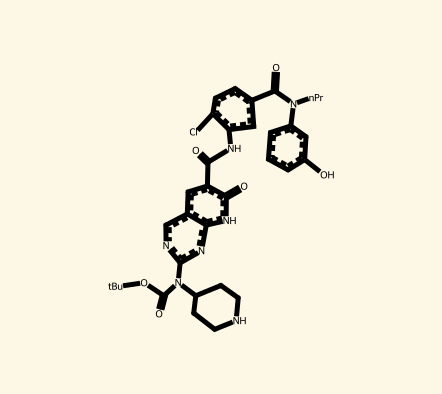 CCCN(C(=O)c1ccc(Cl)c(NC(=O)c2cc3cnc(N(C(=O)OC(C)(C)C)C4CCNCC4)nc3[nH]c2=O)c1)c1cccc(O)c1